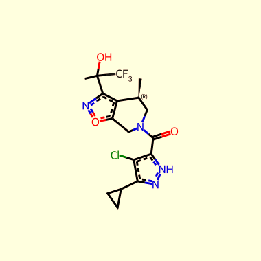 C[C@H]1CN(C(=O)c2[nH]nc(C3CC3)c2Cl)Cc2onc(C(C)(O)C(F)(F)F)c21